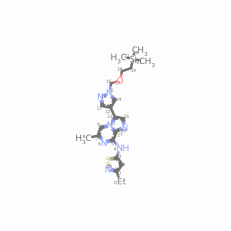 CCc1cc(Nc2nc(C)cn3c(-c4cnn(COCC[Si](C)(C)C)c4)cnc23)sn1